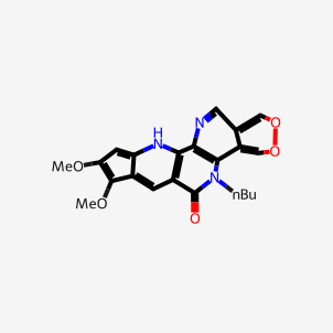 CCCCn1c(=O)c2cc3c(OC)c(OC)cc-3[nH]c2c2ncc3c(c21)=COOC=3